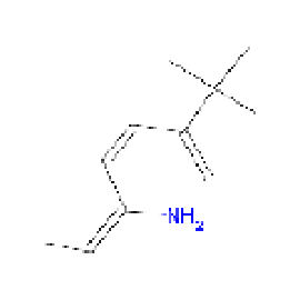 C=C(/C=C\C(N)=C/C)C(C)(C)C